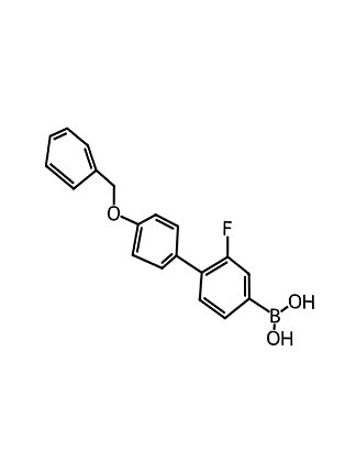 OB(O)c1ccc(-c2ccc(OCc3ccccc3)cc2)c(F)c1